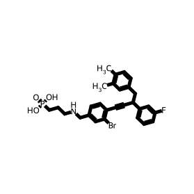 Cc1ccc(CC(C#Cc2ccc(CNCCCP(=O)(O)O)cc2Br)c2cccc(F)c2)cc1C